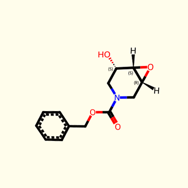 O=C(OCc1ccccc1)N1C[C@H](O)[C@@H]2O[C@@H]2C1